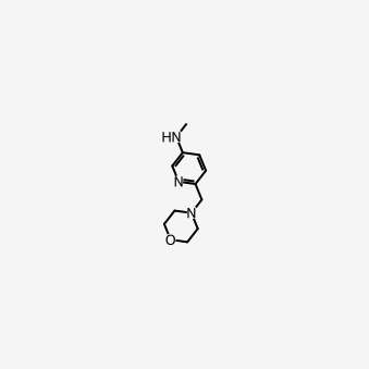 CNc1ccc(CN2CCOCC2)nc1